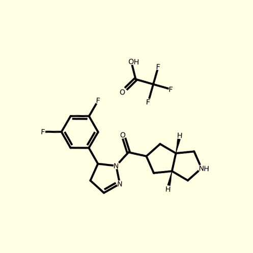 O=C(C1C[C@H]2CNC[C@H]2C1)N1N=CCC1c1cc(F)cc(F)c1.O=C(O)C(F)(F)F